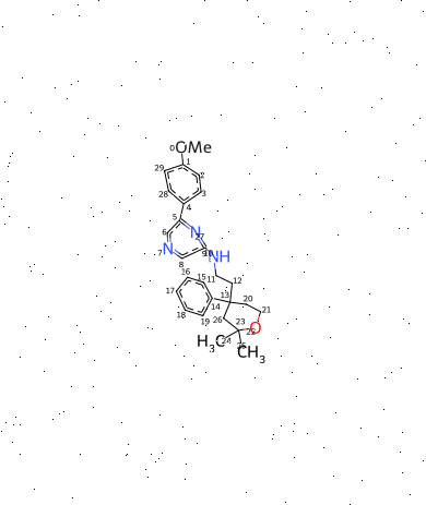 COc1ccc(-c2cncc(NCCC3(c4ccccc4)CCOC(C)(C)C3)n2)cc1